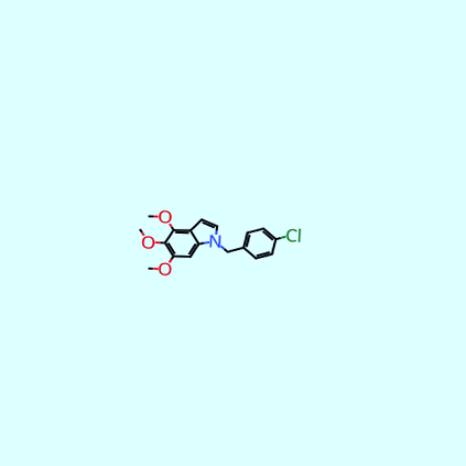 COc1cc2c(ccn2Cc2ccc(Cl)cc2)c(OC)c1OC